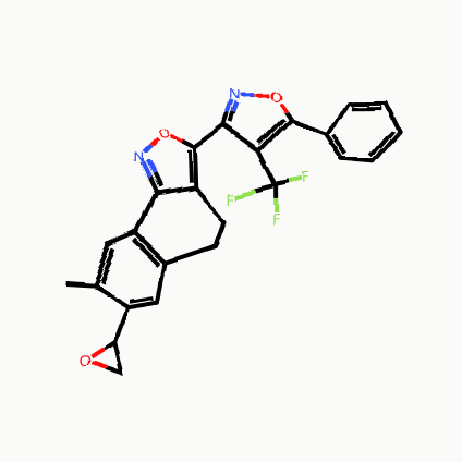 Cc1cc2c(cc1C1CO1)CCc1c-2noc1-c1noc(-c2ccccc2)c1C(F)(F)F